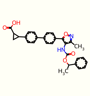 Cc1noc(-c2ccc(-c3ccc(C4CC4C(=O)O)cc3)cc2)c1NC(=O)OC(C)c1ccccc1